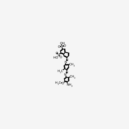 COc1cc(N=Nc2cc(C)c(N=Nc3ccc4cc(S(=O)(=O)O)cc(S(=O)(=O)O)c4c3)cc2C)c(C)cc1N